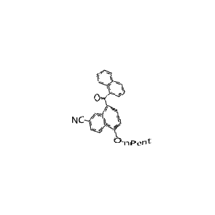 CCCCCOc1ccc(C(=O)c2cccc3ccccc23)c2cc(C#N)ccc12